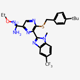 CCO/N=C(\N)c1cnc(SCc2ccc(C(C)(C)C)cc2)c(-c2nc3cc(C(F)(F)F)ccc3n2C)n1